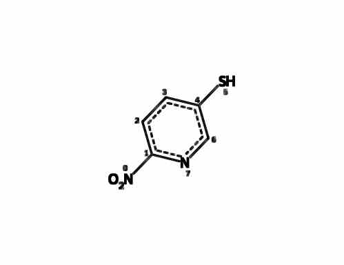 O=[N+]([O-])c1ccc(S)cn1